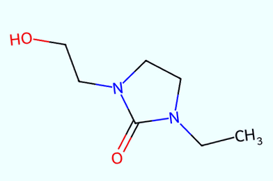 CCN1CCN(CCO)C1=O